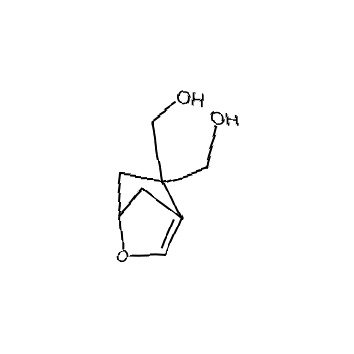 OCC1(CO)CC2CC1=CO2